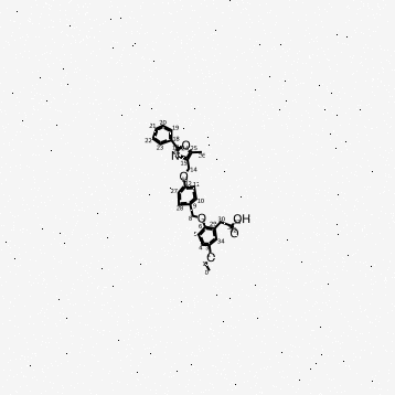 CCOc1ccc(OCc2ccc(OCc3nc(-c4ccccc4)oc3C)cc2)c(CC(=O)O)c1